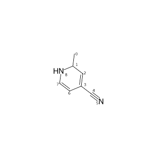 CC1C=C(C#N)C=CN1